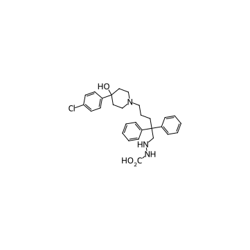 O=C(O)NNCC(CCCN1CCC(O)(c2ccc(Cl)cc2)CC1)(c1ccccc1)c1ccccc1